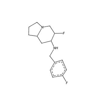 Fc1ccc(CNC2CC3CCCN3CC2F)cc1